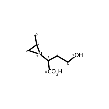 CC1CN1C(CCO)C(=O)O